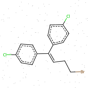 Clc1ccc(C(=CCCBr)c2ccc(Cl)cc2)cc1